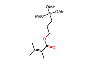 CO[Si](CCCOC(=O)C(C)=C(C)C)(OC)OC